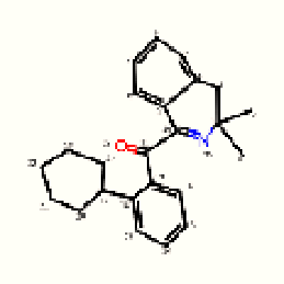 CC1(C)Cc2ccccc2C(C(=O)c2ccccc2C2CCCCC2)=N1